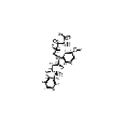 COc1ccc2c(c1)N(CC(C)(C)C(=O)NC(C)C)/C(=C/c1sc3ccccc3[n+]1C)S2